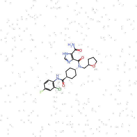 NC(=O)c1[nH]cnc1C(=O)N(CC1CCCO1)[C@H]1CC[C@H](C(=O)Nc2ccc(F)cc2Cl)CC1